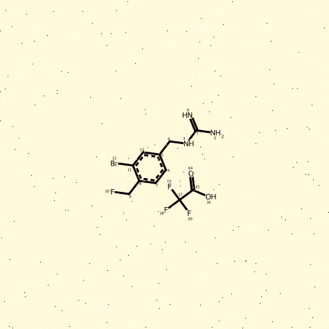 N=C(N)NCc1ccc(CF)c(Br)c1.O=C(O)C(F)(F)F